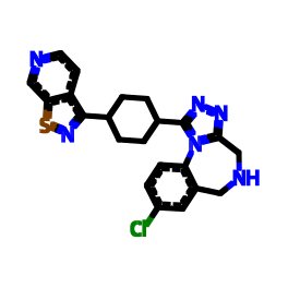 Clc1ccc2c(c1)CNCc1nnc(C3CCC(c4nsc5cnccc45)CC3)n1-2